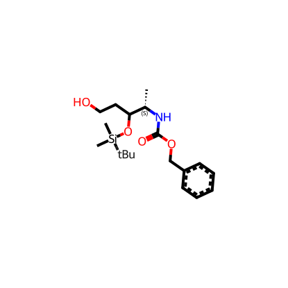 C[C@H](NC(=O)OCc1ccccc1)C(CCO)O[Si](C)(C)C(C)(C)C